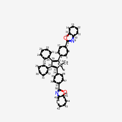 CC[Si]1(C)C(c2ccc(-c3nc4ccccc4o3)cc2)=C(c2ccccc2)C(c2ccccc2)=C1c1ccc(-c2nc3ccccc3o2)cc1